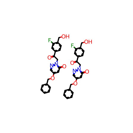 O=C(Cn1ncc(OCc2ccccc2)cc1=O)c1ccc(CO)c(F)c1.O=C(Cn1ncc(OCc2ccccc2)cc1=O)c1ccc(CO)c(F)c1